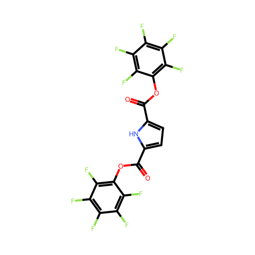 O=C(Oc1c(F)c(F)c(F)c(F)c1F)c1ccc(C(=O)Oc2c(F)c(F)c(F)c(F)c2F)[nH]1